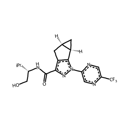 CC(C)[C@@H](CO)NC(=O)c1nn(-c2cnc(C(F)(F)F)cn2)c2c1C[C@H]1C[C@@H]21